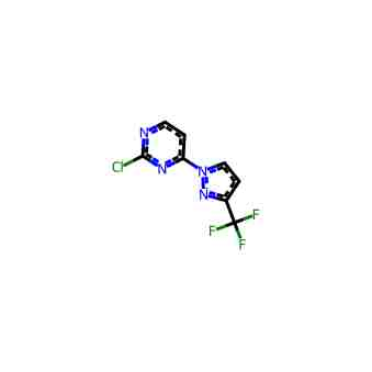 FC(F)(F)c1ccn(-c2ccnc(Cl)n2)n1